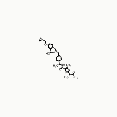 CC(=O)C(C)c1nc(C)c(C(=O)N[C@@H](C)c2ccc(CN3Cc4ccc(OCC5CC5)cc4C(O)C3)cc2)s1